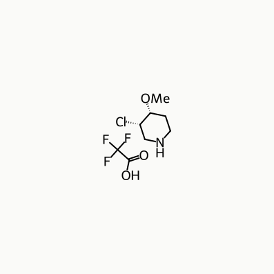 CO[C@@H]1CCNC[C@@H]1Cl.O=C(O)C(F)(F)F